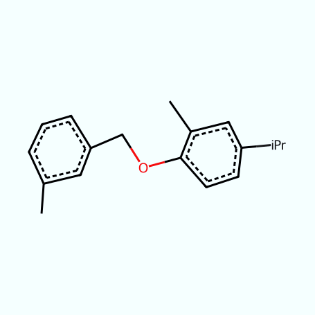 Cc1cccc(COc2ccc(C(C)C)cc2C)c1